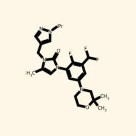 Cc1cn(-c2cc(N3CCOC(C)(C)C3)cc(C(F)F)c2F)c(=O)n1Cc1cnn(C(C)C)c1